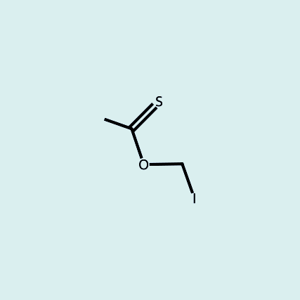 CC(=S)OCI